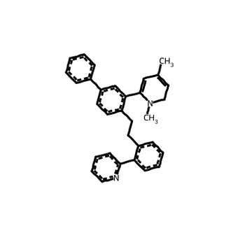 CC1=CCN(C)C(c2cc(-c3ccccc3)ccc2CCc2ccccc2-c2ccccn2)=C1